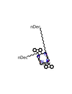 CCCCCCCCCCCCCCCCCCCCCCCCCCCCCCCCC1(C)c2ccccc2-c2cccc(C3=C4C=CC(=N4)C=C4C=CC(=N4)C(c4cccc5c4C(CCCCCCCCCCCCCCCC)(CCCCCCCCCCCCCCCC)c4ccccc4-5)=C4C=CC(=N4)C=C4C=CC3=N4)c21